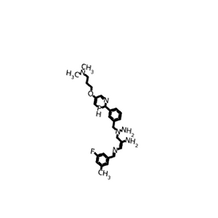 Cc1cc(F)cc(/C=N/C=C(/N)CN(N)Cc2cccc(C3N=CC(OCCCN(C)C)=CP3)c2)c1